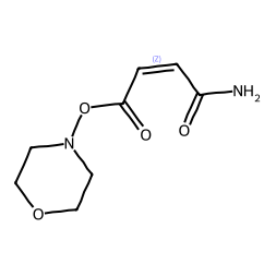 NC(=O)/C=C\C(=O)ON1CCOCC1